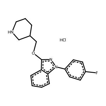 Cl.Fc1ccc(-n2nc(OCC3CCCNC3)c3ccccc32)cc1